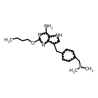 CCCCOc1nc(N)c2[nH]cc(Cc3ccc(CN(C)C)cc3)c2n1